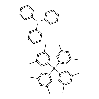 Cc1cc(C)cc([B-](c2cc(C)cc(C)c2)(c2cc(C)cc(C)c2)c2cc(C)cc(C)c2)c1.c1ccc([C+](c2ccccc2)c2ccccc2)cc1